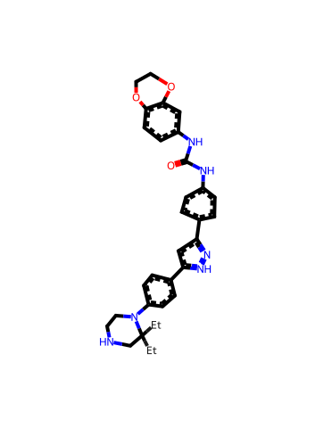 CCC1(CC)CNCCN1c1ccc(-c2cc(-c3ccc(NC(=O)Nc4ccc5c(c4)OCCO5)cc3)n[nH]2)cc1